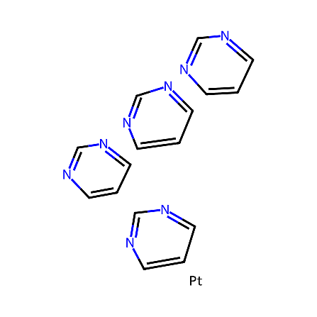 [Pt].c1cncnc1.c1cncnc1.c1cncnc1.c1cncnc1